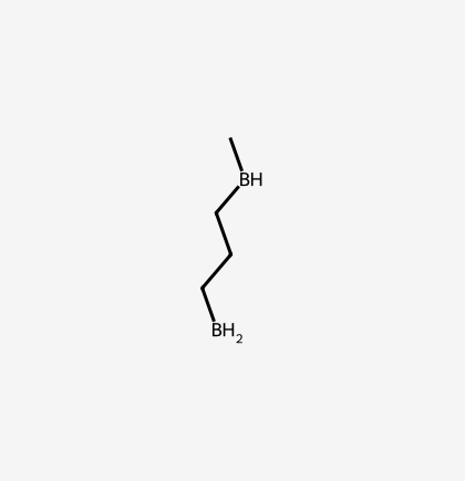 BCCCBC